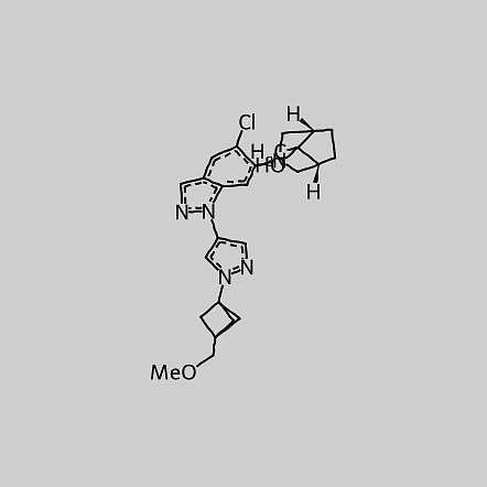 COCC12CC(n3cc(-n4ncc5cc(Cl)c(N6C[C@H]7CC[C@@H](C6)C7(C)O)cc54)cn3)(C1)C2